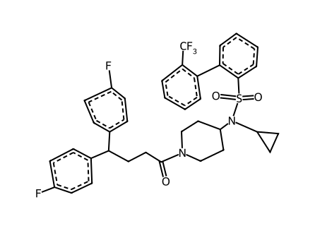 O=C(CCC(c1ccc(F)cc1)c1ccc(F)cc1)N1CCC(N(C2CC2)S(=O)(=O)c2ccccc2-c2ccccc2C(F)(F)F)CC1